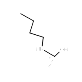 CCCCN[C@@H](C)O